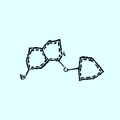 Brc1ccc2ccnc(Oc3ccccc3)c2c1